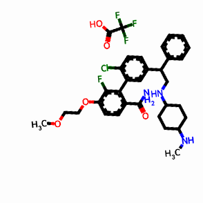 CNC1CCC(NCC(c2ccccc2)c2ccc(Cl)c(-c3c(C(N)=O)ccc(OCCOC)c3F)c2)CC1.O=C(O)C(F)(F)F